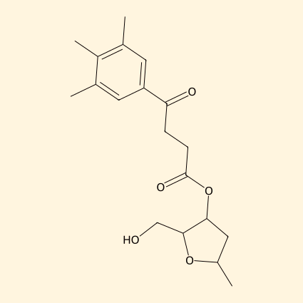 Cc1cc(C(=O)CCC(=O)OC2CC(C)OC2CO)cc(C)c1C